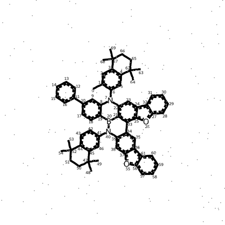 Cc1cc2c(cc1N1c3cc(-c4ccccc4)ccc3B3c4c1cc1c(oc5ccccc51)c4-c1cc4c(cc1N3c1ccc3c(c1)C(C)(C)CCC3(C)C)oc1ccccc14)C(C)(C)CCC2(C)C